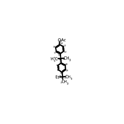 CCC(C)(C)c1ccc(C(C)(C)c2ccc(OC(C)=O)cc2)cc1